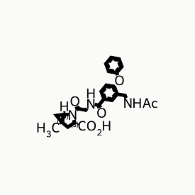 CC(=O)NCc1cc(C(=O)NCC(=O)N2[C@H]3C[C@@]3(C)C[C@H]2C(=O)O)ccc1Oc1ccccc1